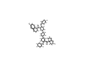 Cc1ccc2c(Nc3cc(-c4ccc(-c5ccc(Sc6ccccc6)c(Nc6ccnc7nc(C)ccc67)c5)cc4)ccc3Sc3ccccc3)ccnc2n1